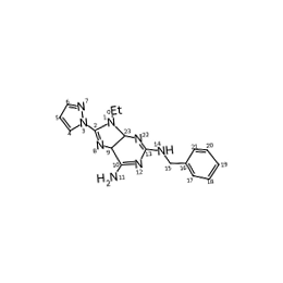 CCN1C(n2cccn2)=NC2C(N)=NC(NCc3ccccc3)=NC21